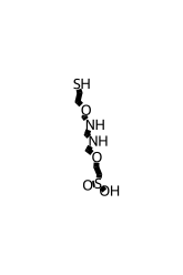 O=S(O)CCOCNCNCOCCS